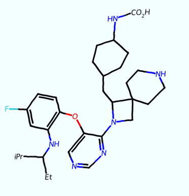 CCC(Nc1cc(F)ccc1Oc1cncnc1N1CC2(CCNCC2)C1CC1CCC(NC(=O)O)CC1)C(C)C